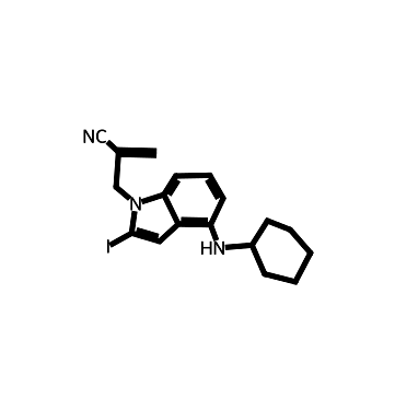 C=C(C#N)Cn1c(I)cc2c(NC3CCCCC3)cccc21